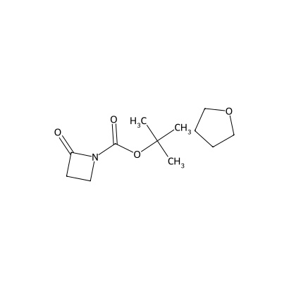 C1CCOC1.CC(C)(C)OC(=O)N1CCC1=O